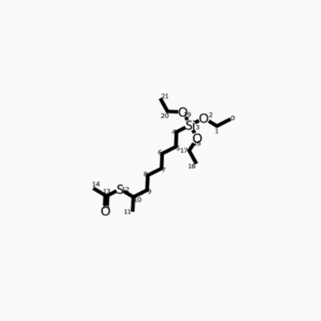 CCO[Si](CCCCCCC(C)SC(C)=O)(OCC)OCC